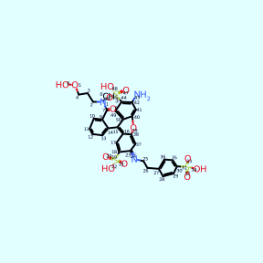 CN(CCCOO)C(=O)c1ccccc1-c1c2cc(S(=O)(=O)O)/c(=N/CCc3ccc(S(=O)(=O)O)cc3)cc-2oc2cc(N)c(S(=O)(=O)O)cc12